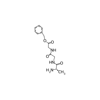 C[C@@H](N)C(=O)NCC(=O)NCC(=O)OCc1ccccc1